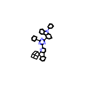 c1ccc(-c2nc(-c3ccc4c(n3)C3(c5ccccc5-4)C4CC5CC6CC3C56C4)nc(-c3cccc4c3c3ccccc3n4-c3ccccc3)n2)cc1